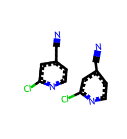 N#Cc1ccnc(Cl)c1.N#Cc1ccnc(Cl)c1